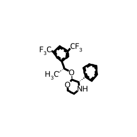 C[C@@H](O[C@H]1OCCN[C@H]1c1ccccc1)c1cc(C(F)(F)F)cc(C(F)(F)F)c1